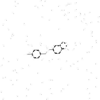 Cn1ncc2cc(N(Cc3ccc(Cl)cc3)C(C)(C)C)ccc21